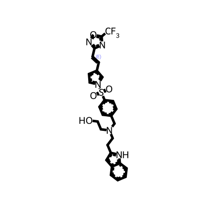 O=S(=O)(c1ccc(CN(CCO)CCc2cc3ccccc3[nH]2)cc1)n1ccc(/C=C/c2noc(C(F)(F)F)n2)c1